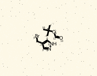 BrCc1cn[nH]c1.CC(C)(C)OC=O